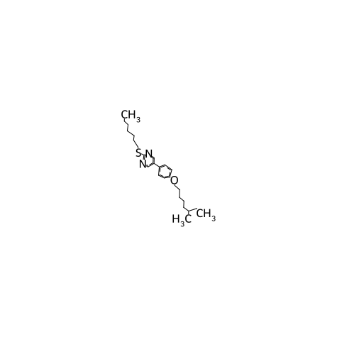 CCCCCCCSc1ncc(-c2ccc(OCCCCCC(C)CC)cc2)cn1